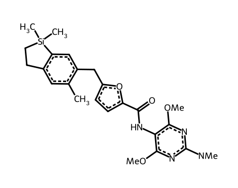 CNc1nc(OC)c(NC(=O)c2ccc(Cc3cc4c(cc3C)CC[Si]4(C)C)o2)c(OC)n1